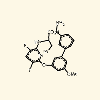 COc1cc(Oc2nc(NC(CC(C)C)C(=O)O)c(F)cc2F)cc(-c2cccc(CN)c2)c1